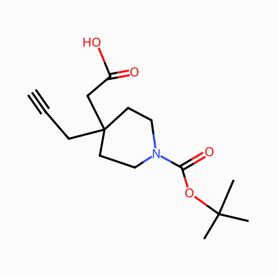 C#CCC1(CC(=O)O)CCN(C(=O)OC(C)(C)C)CC1